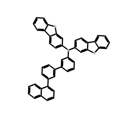 c1cc(-c2cccc(N(c3ccc4c(c3)oc3ccccc34)c3ccc4c(c3)sc3ccccc34)c2)cc(-c2cccc3ccccc23)c1